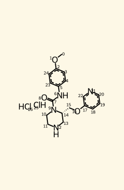 COc1ccc(NC(=O)N2CCNC[C@H]2COc2cccnc2)cc1.Cl.Cl